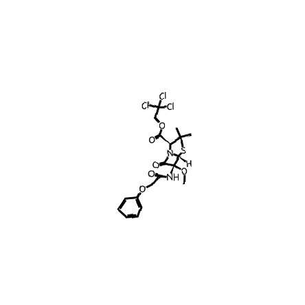 CO[C@]1(NC(=O)COc2ccccc2)C(=O)N2[C@@H](C(=O)OCC(Cl)(Cl)Cl)C(C)(C)S[C@@H]21